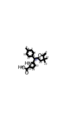 C=C1O/C(=C(\c2ccc(C)cc2)c2ccc(C(=O)O)[nH]2)CC1(C)C